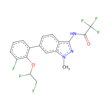 Cn1nc(NC(=O)C(F)(F)F)c2ccc(-c3cccc(F)c3OC(F)CF)cc21